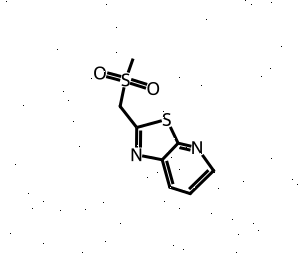 CS(=O)(=O)Cc1nc2cccnc2s1